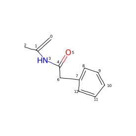 C=C(C)NC(=O)Cc1ccccc1